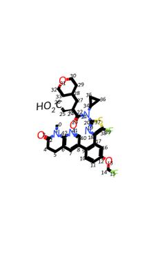 CN1C(=O)CCc2cc(-c3ccc(OCF)cc3-c3nc(N(C(=O)[C@@H](CC(=O)O)CC4CCOCC4)C4CC4)sc3F)cnc21